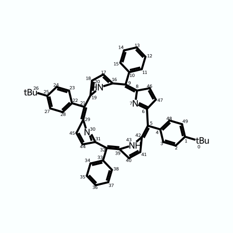 CC(C)(C)c1ccc(-c2c3nc(c(-c4ccccc4)c4ccc([nH]4)c(-c4ccc(C(C)(C)C)cc4)c4nc(c(-c5ccccc5)c5ccc2[nH]5)C=C4)C=C3)cc1